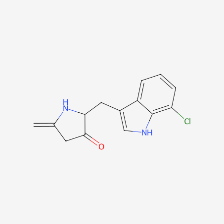 C=C1CC(=O)C(Cc2c[nH]c3c(Cl)cccc23)N1